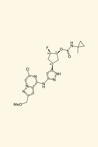 COCc1cc2c(Nc3cc([C@H]4C[C@@H](F)[C@@H](OC(=O)NC5(C)CC5)C4)[nH]n3)nc(Cl)cn2n1